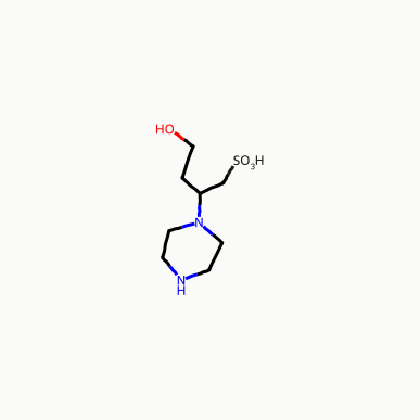 O=S(=O)(O)CC(CCO)N1CCNCC1